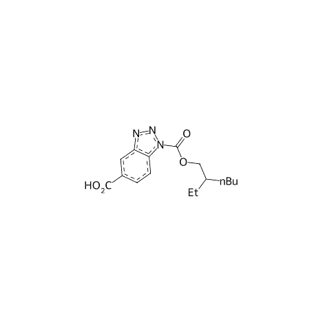 CCCCC(CC)COC(=O)n1nnc2cc(C(=O)O)ccc21